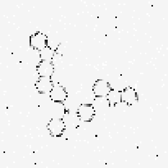 CC1(C)c2ccccc2-c2cc3ccc4cc(N(c5ccccc5)c5cccc(-c6cccc7c6oc6ccccc67)c5)ccc4c3cc21